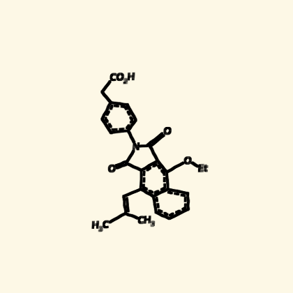 CCOc1c2c(c(C=C(C)C)c3ccccc13)C(=O)N(c1ccc(CC(=O)O)cc1)C2=O